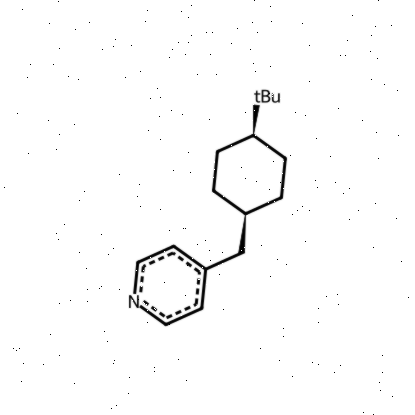 CC(C)(C)[C@H]1CC[C@@H](Cc2ccncc2)CC1